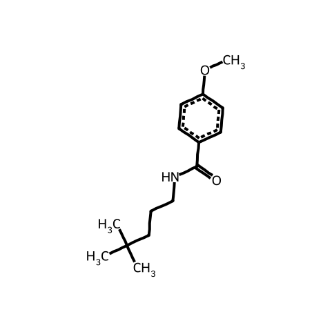 COc1ccc(C(=O)NCCCC(C)(C)C)cc1